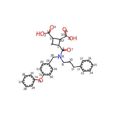 O=C(O)C1CC(C(=O)N(CCCc2ccccc2)Cc2ccc(Oc3ccccc3)cc2)C1C(=O)O